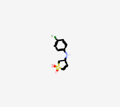 O=S1(=O)C=CC(Nc2ccc(Cl)cc2)C1